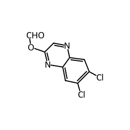 O=COc1cnc2cc(Cl)c(Cl)cc2n1